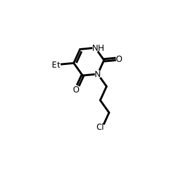 CCc1c[nH]c(=O)n(CCCCl)c1=O